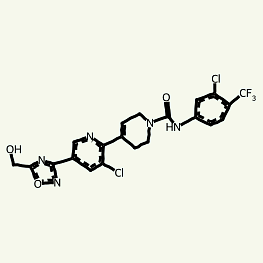 O=C(Nc1ccc(C(F)(F)F)c(Cl)c1)N1CC=C(c2ncc(-c3noc(CO)n3)cc2Cl)CC1